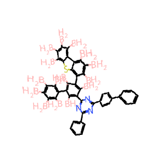 Bc1c(B)c(B)c(-c2c(B)c(-c3nc(-c4ccccc4)nc(-c4ccc(-c5ccccc5)cc4)n3)c(B)c(-c3c(B)c(B)c(B)c4c3sc3c(B)c(B)c(B)c(B)c34)c2B)c(B)c1B